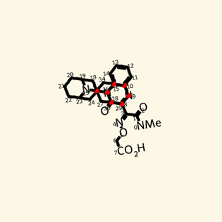 CNC(=O)/C(=N\OCC(=O)O)c1nc2ccccc2n(C2CC3CCCC(C2)N3C2CC3CCCC(C3)C2)c1=O